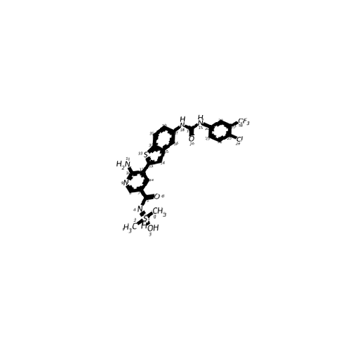 C[SH](C)(O)=NC(=O)c1cnc(N)c(-c2cc3cc(NC(=O)Nc4ccc(Cl)c(C(F)(F)F)c4)ccc3s2)c1